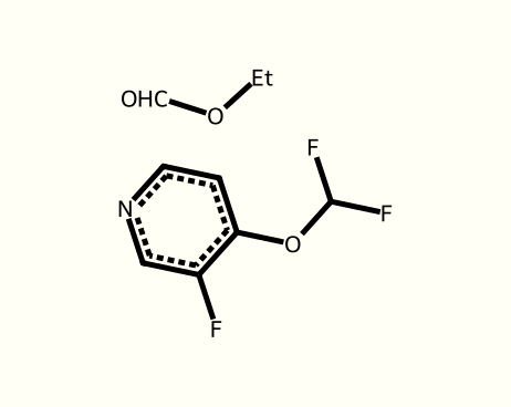 CCOC=O.Fc1cnccc1OC(F)F